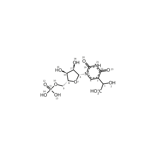 O=C(O)C(O)c1cn([C@@H]2O[C@H](COP(=O)(O)O)[C@@H](O)[C@H]2O)c(=O)[nH]c1=O